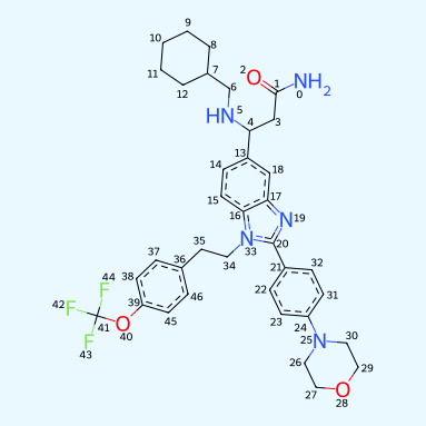 NC(=O)CC(NCC1CCCCC1)c1ccc2c(c1)nc(-c1ccc(N3CCOCC3)cc1)n2CCc1ccc(OC(F)(F)F)cc1